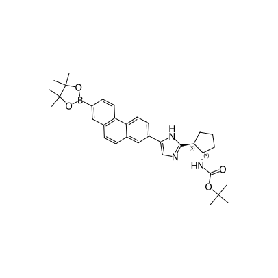 CC(C)(C)OC(=O)N[C@H]1CCC[C@@H]1c1ncc(-c2ccc3c(ccc4cc(B5OC(C)(C)C(C)(C)O5)ccc43)c2)[nH]1